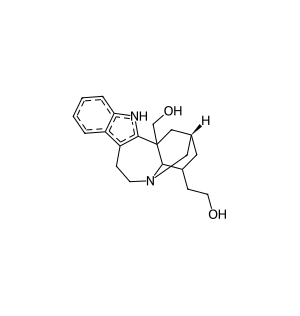 OCCC1C[C@@H]2CN3CCc4c([nH]c5ccccc45)C(CO)(C2)C13